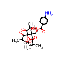 C=C(C)C(=O)OC(C(=O)C(=C)C)(C(=O)C(=C)C)C(CO)(CO)COC(=O)c1ccc(N)cc1